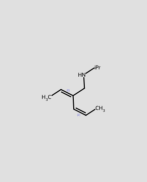 C/C=C\C(=C/C)CNC(C)C